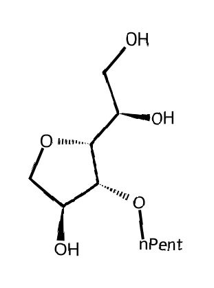 CCCCCO[C@H]1[C@@H]([C@H](O)CO)OC[C@@H]1O